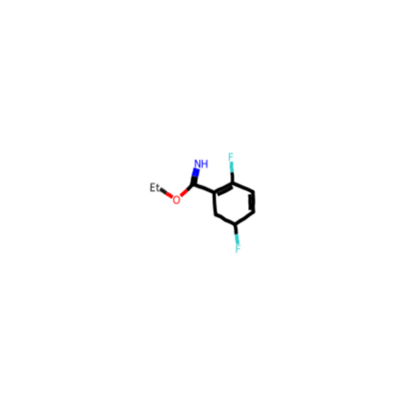 CCOC(=N)C1=C(F)C=CC(F)C1